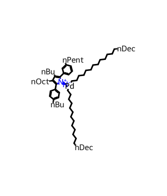 CCCCCCCCC1=C(c2ccc(CCCC)cc2)[N+](=[N-])C(c2cccc(CCCCC)c2)=C1CCCC.CCCCCCCCCCCCCCCCCCCCCC[CH2][Pd][CH2]CCCCCCCCCCCCCCCCCCCCCC